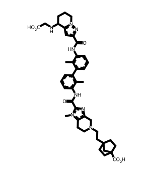 Cc1c(NC(=O)c2cc3n(n2)CCCC3NCC(=O)O)cccc1-c1cccc(NC(=O)c2nc3c(n2C)CCN(CCC24CCC(C(=O)O)(CC2)C4)C3)c1C